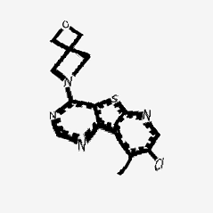 Cc1c(Cl)cnc2sc3c(N4CC5(COC5)C4)ncnc3c12